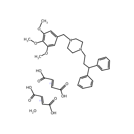 COc1cc(CN2CCN(CCC(c3ccccc3)c3ccccc3)CC2)cc(OC)c1OC.O.O=C(O)/C=C/C(=O)O.O=C(O)/C=C/C(=O)O